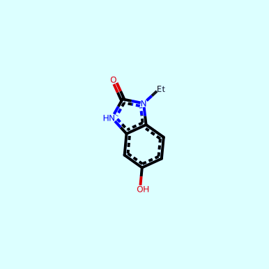 CCn1c(=O)[nH]c2cc(O)ccc21